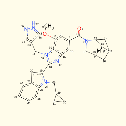 COc1cc(C(=O)N2CC3CC4CC2[C@H]43)cc2nc(-c3cc4ccccc4n3CC3CC3)n(Cc3cn[nH]c3)c12